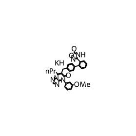 CCCc1c(Cc2ccc(-c3ccccc3-c3noc(=O)[nH]3)cc2)c(=O)n(-c2cccc(OC)c2)c2ncnn12.[KH]